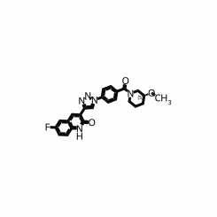 CO[C@H]1CCCN(C(=O)c2ccc(-n3cc(-c4cc5cc(F)ccc5[nH]c4=O)nn3)cc2)C1